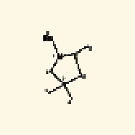 CCC(C)N1CC(C)(C)CC1C